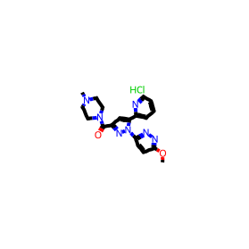 COc1ccc(-n2nc(C(=O)N3CCN(C)CC3)cc2-c2ccccn2)nn1.Cl